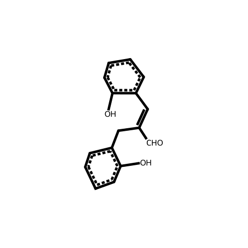 O=CC(=Cc1ccccc1O)Cc1ccccc1O